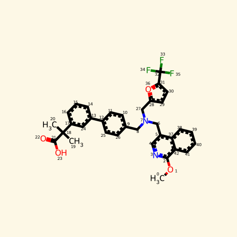 COc1ncc(CN(Cc2ccc(-c3cccc(C(C)(C)C(=O)O)c3)cc2)Cc2ccc(C(F)(F)F)o2)c2ccccc12